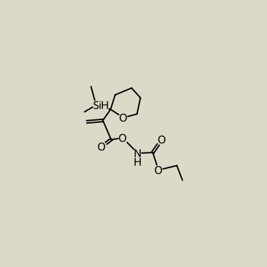 C=C(C(=O)ONC(=O)OCC)C1([SiH](C)C)CCCCO1